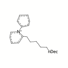 CCCCCCCCCCCCCCCc1cccc[n+]1-c1ccccc1